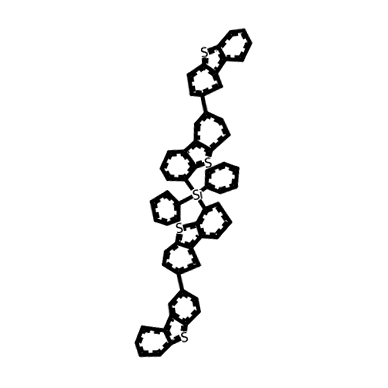 c1ccc([Si](c2ccccc2)(c2cccc3c2sc2ccc(-c4ccc5sc6ccccc6c5c4)cc23)c2cccc3c2sc2ccc(-c4ccc5sc6ccccc6c5c4)cc23)cc1